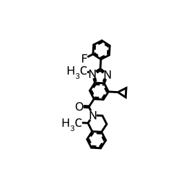 CC1c2ccccc2CCN1C(=O)c1cc(C2CC2)c2nc(-c3ccccc3F)n(C)c2c1